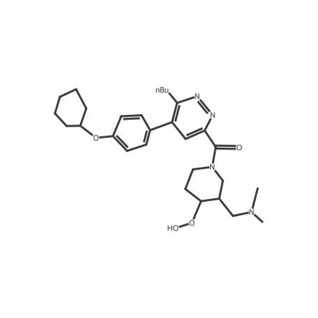 CCCCc1nnc(C(=O)N2CCC(OO)C(CN(C)C)C2)cc1-c1ccc(OC2CCCCC2)cc1